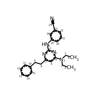 CCN(CC)c1cc(CCc2ccccc2)nc(Nc2cccc(C#N)c2)n1